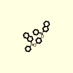 c1ccc(N(Oc2ccc(ON(c3ccccc3)c3ccc4ccccc4c3)cc2)c2ccc3ccccc3c2)cc1